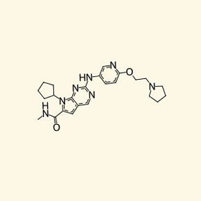 CNC(=O)c1cc2cnc(Nc3ccc(OCCN4CCCC4)nc3)nc2n1C1CCCC1